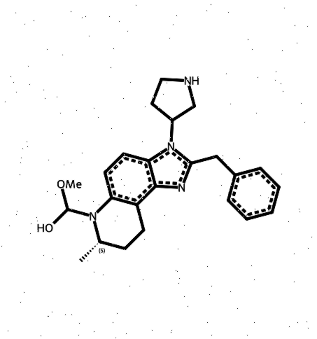 COC(O)N1c2ccc3c(nc(Cc4ccccc4)n3C3CCNC3)c2CC[C@@H]1C